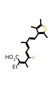 CCC(C(=O)O)=C(C)C(F)=CC=C(C)C=Cc1c(C)sc(C)c1C